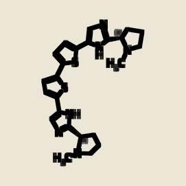 CN1CCC[C@@H]1c1ncc(-c2ccc(-c3ccc(-c4cnc([C@H]5CCCN5C)[nH]4)s3)s2)[nH]1